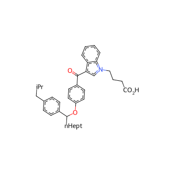 CCCCCCCC(Oc1ccc(C(=O)c2cn(CCCC(=O)O)c3ccccc23)cc1)c1ccc(CC(C)C)cc1